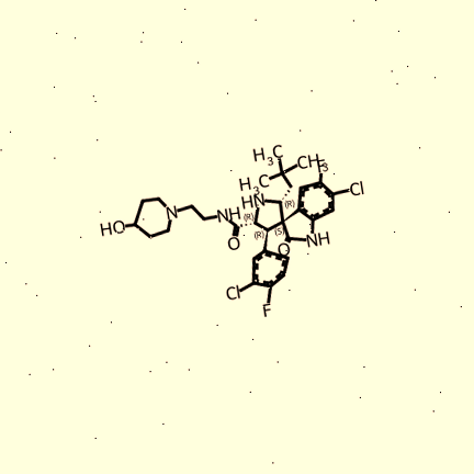 CC(C)(C)C[C@H]1N[C@@H](C(=O)NCCN2CCC(O)CC2)[C@H](c2ccc(F)c(Cl)c2)[C@@]12C(=O)Nc1cc(Cl)c(F)cc12